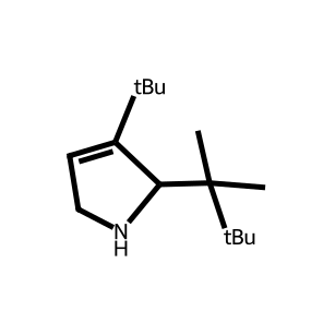 CC(C)(C)C1=CCNC1C(C)(C)C(C)(C)C